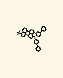 C[Si](C)(C)c1ccc2c3ccc(N(c4ccc(-c5ccccc5)cc4)c4ccc(-c5ccccc5)cc4)c4cccc(c5cccc1c52)c43